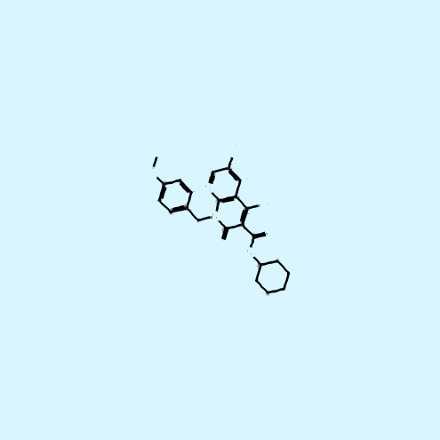 COc1ccc(Cn2c(=O)c(C(=O)NC3CCCCC3)c(O)c3cc(F)cnc32)cc1